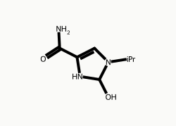 CC(C)N1C=C(C(N)=O)NC1O